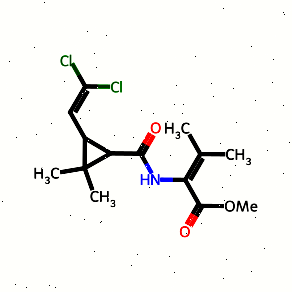 COC(=O)C(NC(=O)C1C(C=C(Cl)Cl)C1(C)C)=C(C)C